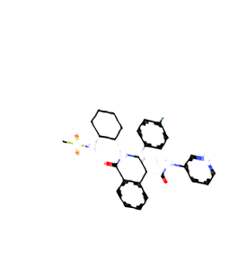 CS(=O)(=O)N[C@H]1CCCC[C@@H]1N1C(=O)c2ccccc2[C@@H](C(=O)Nc2cccnc2)[C@@H]1c1ccc(Cl)cc1